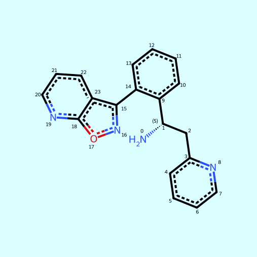 N[C@@H](Cc1ccccn1)c1ccccc1-c1noc2ncccc12